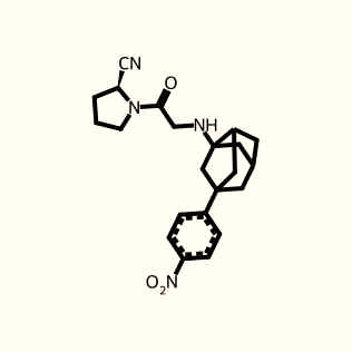 N#C[C@@H]1CCCN1C(=O)CNC12CC3CC1CC(c1ccc([N+](=O)[O-])cc1)(C3)C2